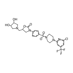 O=C1OC(CN2CC(O)C(O)C2)CN1c1ccc(S(=O)(=O)N2CCN(c3cc(C(F)(F)F)cc(Cl)n3)CC2)cc1